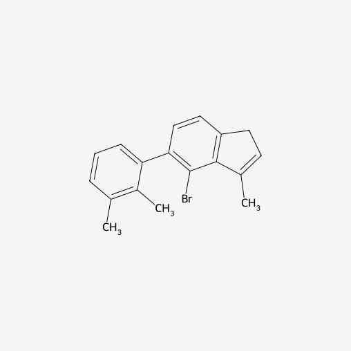 CC1=CCc2ccc(-c3cccc(C)c3C)c(Br)c21